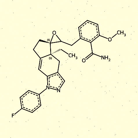 CC[C@]12Cc3cnn(-c4ccc(F)cc4)c3C=C1CC[C@]21OC1Cc1cccc(OC)c1C(N)=O